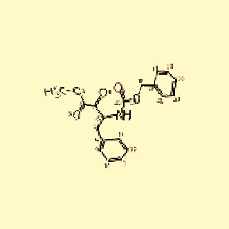 COC(=O)C(=O)C(Cc1ccccc1)NC(=O)OCc1ccccc1